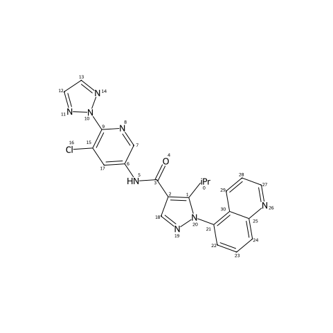 CC(C)c1c(C(=O)Nc2cnc(-n3nccn3)c(Cl)c2)cnn1-c1cccc2ncccc12